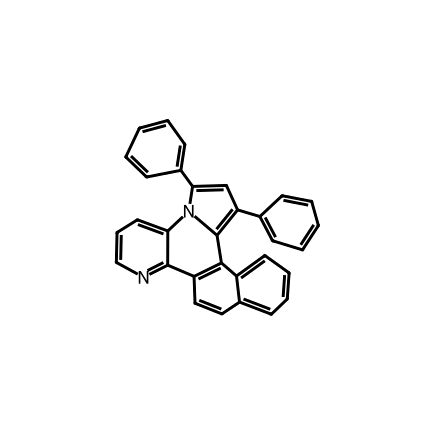 c1ccc(-c2cc(-c3ccccc3)n3c4cccnc4c4ccc5ccccc5c4c23)cc1